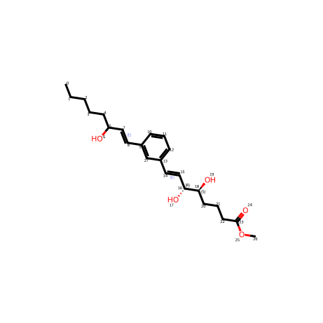 CCCCCC(O)/C=C/c1cccc(/C=C/[C@@H](O)[C@@H](O)CCCC(=O)OC)c1